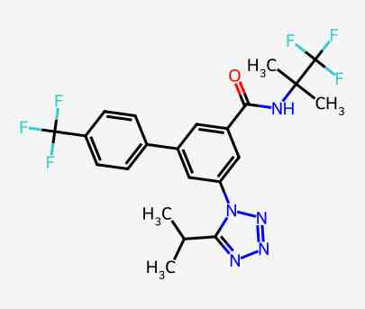 CC(C)c1nnnn1-c1cc(C(=O)NC(C)(C)C(F)(F)F)cc(-c2ccc(C(F)(F)F)cc2)c1